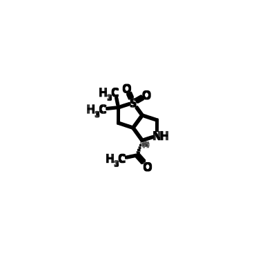 CC(=O)[C@H]1NCC2C1CC(C)(C)S2(=O)=O